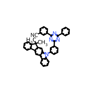 CC1(C)c2ccccc2-c2cc3c4ccccc4n(-c4cccc(-c5nc(-c6ccccc6)nc(-c6cccc(C#N)c6)n5)c4)c3cc21